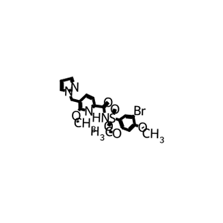 COc1cc(OC)c(S(=O)(=O)NC(=O)c2ccc(Cn3cccn3)c(OC)n2)cc1Br